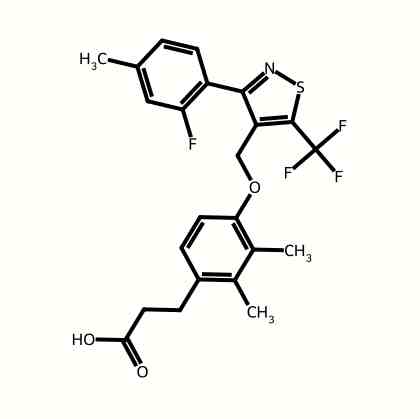 Cc1ccc(-c2nsc(C(F)(F)F)c2COc2ccc(CCC(=O)O)c(C)c2C)c(F)c1